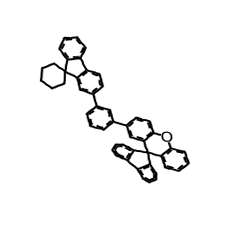 c1cc(-c2ccc3c(c2)C2(CCCCC2)c2ccccc2-3)cc(-c2ccc3c(c2)C2(c4ccccc4O3)c3ccccc3-c3ccccc32)c1